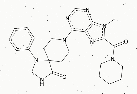 Cn1c(C(=O)N2CCCCC2)nc2c(N3CCC4(CC3)C(=O)NCN4c3ccccc3)ncnc21